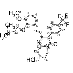 COc1cccc(/C=C/c2nc3ccccn3c(=O)c2-c2ccc(C(F)(F)F)cc2)c1OCCN(C)C.Cl